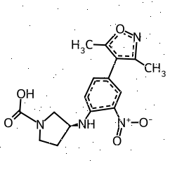 Cc1noc(C)c1-c1ccc(N[C@H]2CCN(C(=O)O)C2)c([N+](=O)[O-])c1